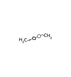 CCC#Cc1ccc(C2CCC(CCC)CC2)cc1